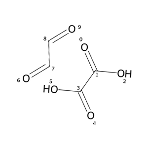 O=C(O)C(=O)O.O=CC=O